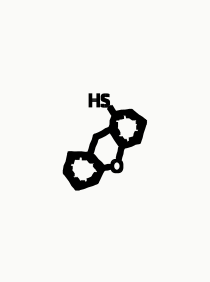 Sc1cccc2c1Cc1ccccc1O2